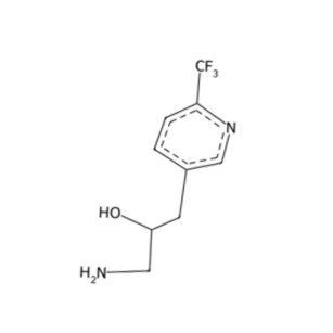 NCC(O)Cc1ccc(C(F)(F)F)nc1